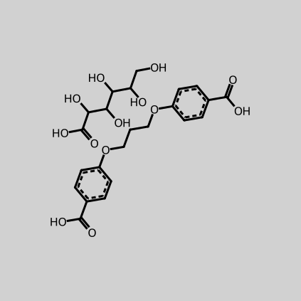 O=C(O)C(O)C(O)C(O)C(O)CO.O=C(O)c1ccc(OCCCOc2ccc(C(=O)O)cc2)cc1